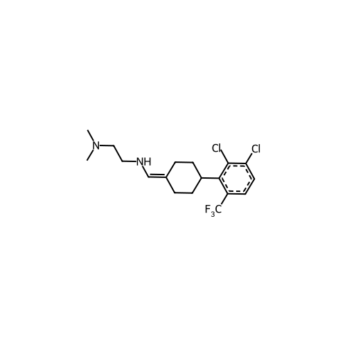 CN(C)CCNC=C1CCC(c2c(C(F)(F)F)ccc(Cl)c2Cl)CC1